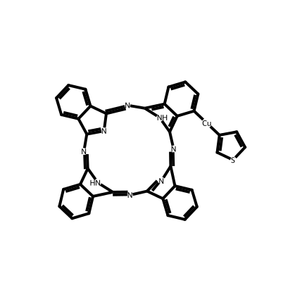 c1ccc2c(c1)-c1nc-2nc2[nH]c(nc3nc(nc4[nH]c(n1)c1ccccc41)-c1ccccc1-3)c1[c]([Cu][c]3ccsc3)cccc21